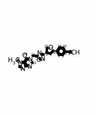 C#Cc1ccc([C@H]2C[C@H](c3noc(Cn4cnc5ncn(C)c5c4=O)n3)CO2)cc1